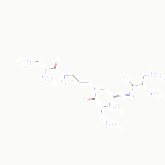 NCC(N)C(=O)N=C=CCN(C/C=C/NC(=O)C(N)CN)C(=O)C(N)CN